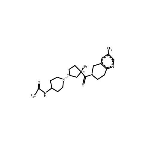 CC(C)[C@]1(C(=O)N2CCc3ncc(C(F)(F)F)cc3C2)CC[C@@H](N2CCC(NC(=O)C(F)(F)F)CC2)C1